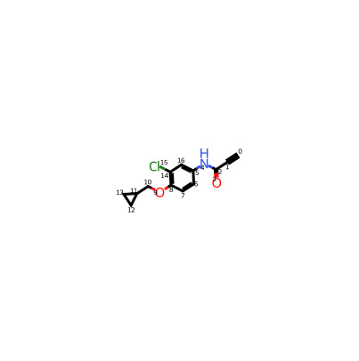 C#CC(=O)Nc1ccc(OCC2CC2)c(Cl)c1